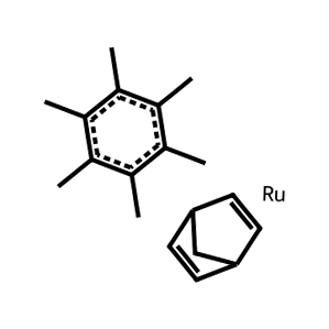 C1=CC2C=CC1C2.Cc1c(C)c(C)c(C)c(C)c1C.[Ru]